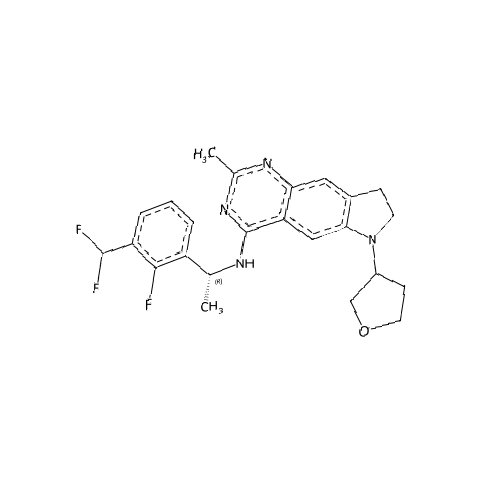 Cc1nc(N[C@H](C)c2cccc(C(F)F)c2F)c2cc3c(cc2n1)CCN3C1CCOC1